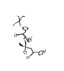 CC(C)(C)OC(=O)N[C@@](C)(Cl)CC(=O)O